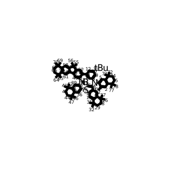 Cc1cc2c(cc1N1c3cc(C(C)(C)C)cc4c3B(c3sc5cc6c(cc5c31)C(C)(C)CCC6(C)C)N(c1ccc3c(c1)C(C)(C)CCC3(C)C)c1cc3c(cc1-4)C(C)(C)c1cc4c(cc1-3)C(C)(C)CCC4(C)C)C(C)(C)CCC2(C)C